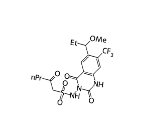 CCCC(=O)CS(=O)(=O)Nn1c(=O)[nH]c2cc(C(F)(F)F)c(C(CC)OC)cc2c1=O